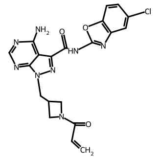 C=CC(=O)N1CC(Cn2nc(C(=O)Nc3nc4cc(Cl)ccc4o3)c3c(N)ncnc32)C1